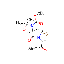 COC(=O)[C@@H]1CS[C@H]2CC3(COC(C)(C)N3C(=O)OC(C)(C)C)C(=O)N21